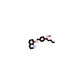 CCCCC(OC)c1ccc(COc2cccc3cccnc23)cc1